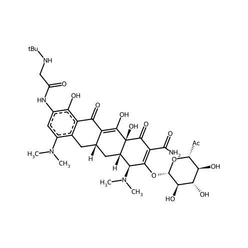 CC(=O)[C@H]1O[C@@H](OC2=C(C(N)=O)C(=O)[C@@]3(O)C(O)=C4C(=O)c5c(O)c(NC(=O)CNC(C)(C)C)cc(N(C)C)c5C[C@H]4C[C@H]3[C@@H]2N(C)C)[C@H](O)[C@@H](O)[C@@H]1O